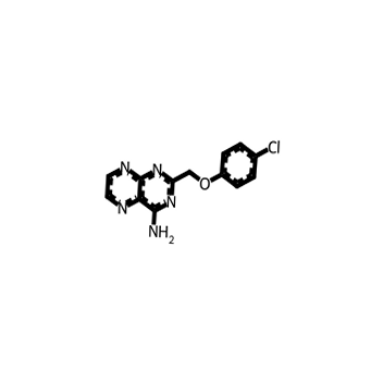 Nc1nc(COc2ccc(Cl)cc2)nc2nccnc12